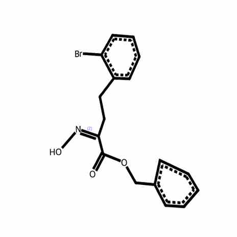 O=C(OCc1ccccc1)/C(CCc1ccccc1Br)=N\O